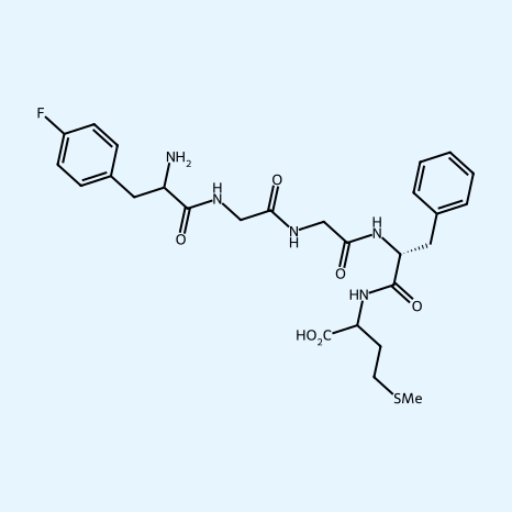 CSCCC(NC(=O)[C@@H](Cc1ccccc1)NC(=O)CNC(=O)CNC(=O)C(N)Cc1ccc(F)cc1)C(=O)O